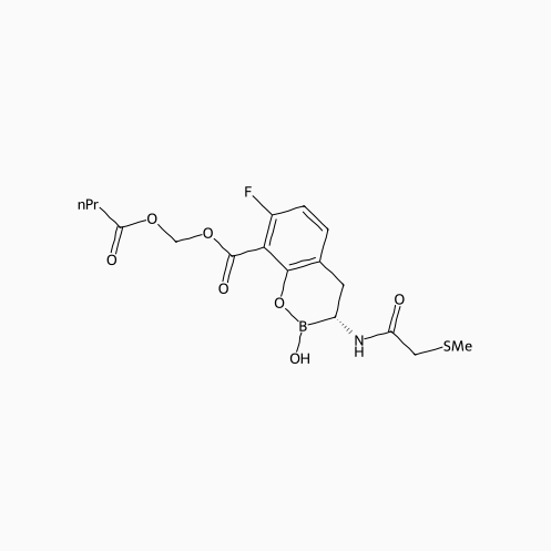 CCCC(=O)OCOC(=O)c1c(F)ccc2c1OB(O)[C@@H](NC(=O)CSC)C2